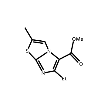 CCc1nc2sc(C)cn2c1C(=O)OC